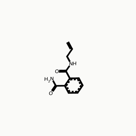 C=CCNC(=O)c1ccccc1C(N)=O